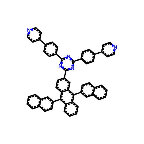 c1ccc2cc(-c3c4ccccc4c(-c4ccc5ccccc5c4)c4cc(-c5nc(-c6ccc(-c7ccncc7)cc6)nc(-c6ccc(-c7ccncc7)cc6)n5)ccc34)ccc2c1